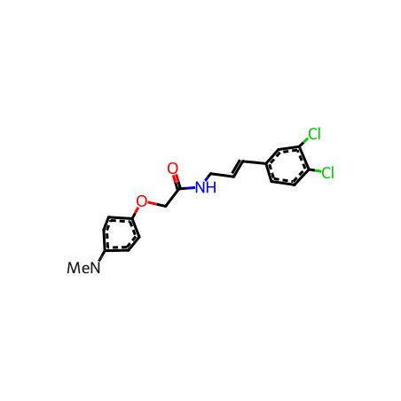 CNc1ccc(OCC(=O)NC/C=C/c2ccc(Cl)c(Cl)c2)cc1